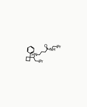 CC(C)CNC(=O)CCCNC(CC(C)C)C1(c2ccccc2)CCC1